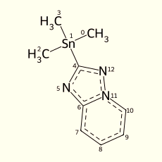 [CH3][Sn]([CH3])([CH3])[c]1nc2ccccn2n1